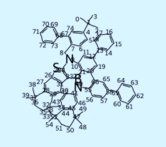 CC(C)(C)c1ccc(CN2c3cc(-c4ccccc4)cc4c3B(c3c2sc2cc5c(cc32)C(C)(C)CCC5(C)C)N(c2ccc3c(c2)C(C)(C)CCC3(C)C)c2ccc(-c3ccccc3)cc2-4)c(-c2ccccc2)c1